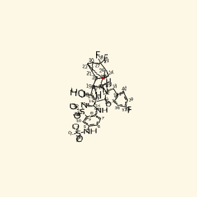 CS(=O)(=O)Nc1ccc2c(c1)S(=O)(=O)N=C(C1=C(O)[C@@H]3C4C5C6C(C7C4C7C(F)(F)C56)[C@@H]3N(Cc3ccc(F)cc3)C1=O)N2